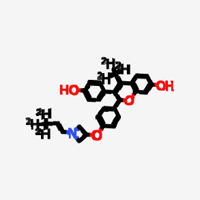 [2H]C([2H])([2H])CCN1CC(Oc2ccc(C3Oc4cc(O)ccc4C(C([2H])([2H])[2H])=C3c3ccc(O)cc3)cc2)C1